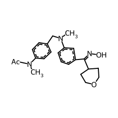 CC(=O)N(C)c1ccc(CN(C)c2cccc(C(=NO)C3CCOCC3)c2)cc1